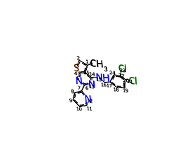 Cc1csc2nc(-c3ccccn3)nc(NCc3ccc(Cl)c(Cl)c3)c12